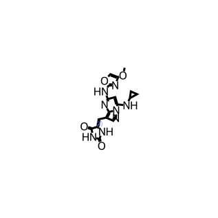 COc1coc(Nc2cc(NC3CC3)n3ncc(/C=C4\NC(=O)NC4=O)c3n2)n1